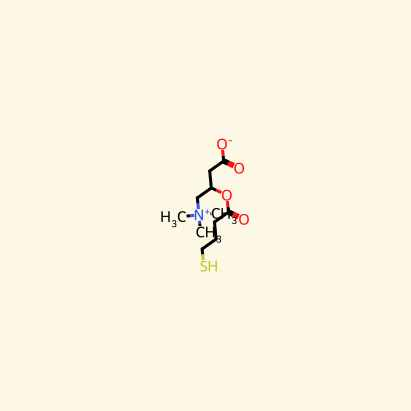 C[N+](C)(C)CC(CC(=O)[O-])OC(=O)CCCS